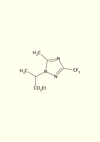 CCOC(=O)C(C)n1nc(C(F)(F)F)nc1C